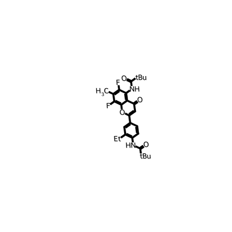 CCc1cc(-c2cc(=O)c3c(NC(=O)C(C)(C)C)c(F)c(C)c(F)c3o2)ccc1NC(=O)C(C)(C)C